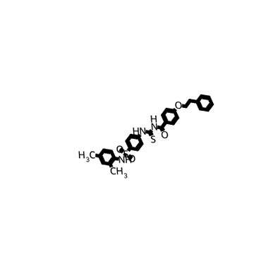 Cc1ccc(NS(=O)(=O)c2ccc(NC(=S)NC(=O)c3ccc(OCCc4ccccc4)cc3)cc2)c(C)c1